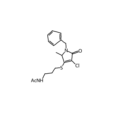 CC(=O)NCCCSC1=C(Cl)C(=O)N(Cc2ccccc2)C1C